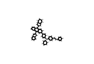 C1=C(c2c3ccccc3c(C3=Cc4ccccc4C3)c3cc(-c4ccc(N(c5ccccc5)c5ccc(/C=C/c6ccccc6)cc5)cc4)ccc23)Cc2ccccc21